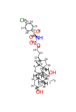 CC[C@H]1[C@@H](O)[C@@H]2[C@H](CC[C@]3(C)[C@@H](CCCOC(=O)NS(=O)(=O)c4ccc(Cl)cc4)CC[C@@H]23)[C@@]2(C)CC[C@@H](O)C[C@@H]12